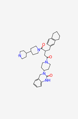 O=C(CC(Cc1ccc2c(c1)CCCC2)C(=O)N1CCC(C2CC[N]CC2)CC1)N1CCC(N2Cc3ccccc3NC2=O)CC1